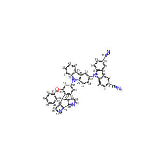 N#Cc1ccc2c(c1)c1cc(C#N)ccc1n2-c1ccc2c(c1)c1ccccc1n2-c1ccc2c(c1)Oc1ccccc1C21c2cccnc2-c2ncccc21